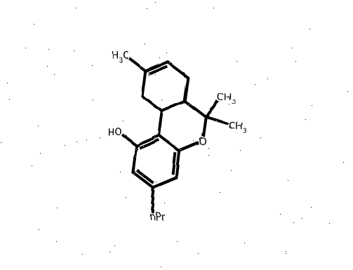 CCCc1cc(O)c2c(c1)OC(C)(C)C1CC=C(C)CC21